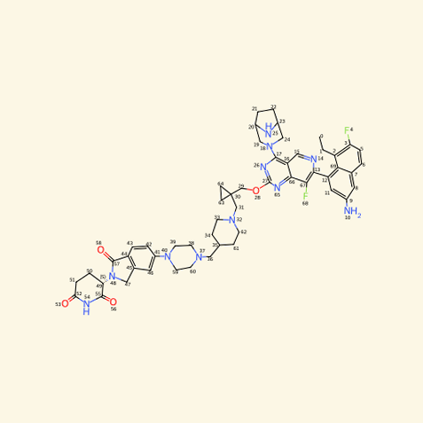 CCc1c(F)ccc2cc(N)cc(-c3ncc4c(N5CC6CCC(C5)N6)nc(OCC5(CN6CCC(CN7CCN(c8ccc9c(c8)CN([C@H]8CCC(=O)NC8=O)C9=O)CC7)CC6)CC5)nc4c3F)c12